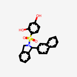 O=S(=O)(c1ccc(O)cc1O)N1Cc2ccccc2C1c1ccc2ccccc2c1